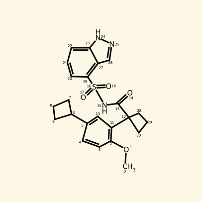 COc1ccc(C2CCC2)cc1C1(C(=O)NS(=O)(=O)c2cccc3[nH]ncc23)CCC1